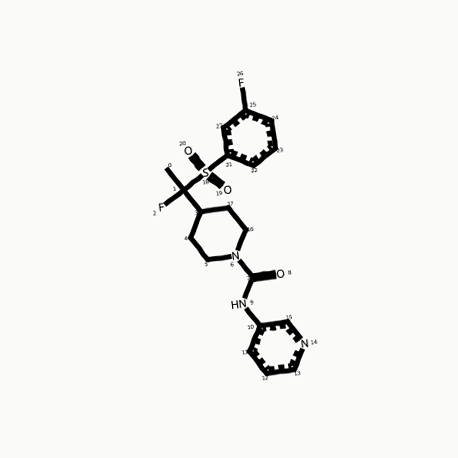 CC(F)(C1CCN(C(=O)Nc2cccnc2)CC1)S(=O)(=O)c1cccc(F)c1